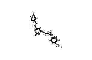 Cc1nc(NCc2cnn(C)c2)cc(OC[C@H]2C[C@@H]2c2ccc(C(F)(F)F)cn2)n1